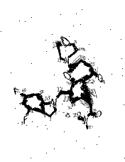 C[C@@H]1Cc2c(F)cc(F)cc2N1Cc1cc(C(=O)N(C)C)cc2c(=O)cc(N3CCOCC3)oc12